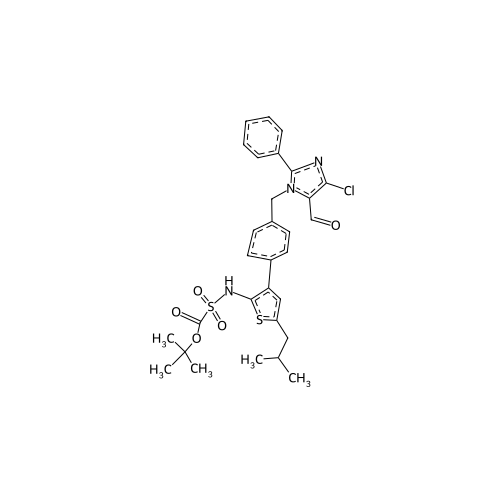 CC(C)Cc1cc(-c2ccc(Cn3c(-c4ccccc4)nc(Cl)c3C=O)cc2)c(NS(=O)(=O)C(=O)OC(C)(C)C)s1